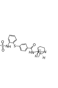 C[C@H]1[C@H](NC(=O)c2ccc(Sc3ccccc3NS(C)(=O)=O)cc2)C2CCN1CC2